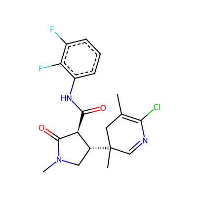 CC1=C(Cl)N=CC(C)([C@@H]2CN(C)C(=O)[C@H]2C(=O)Nc2cccc(F)c2F)C1